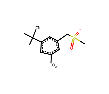 CC(C)(C#N)c1cc(CS(C)(=O)=O)cc(C(=O)O)c1